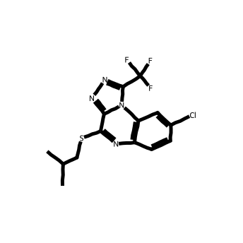 CC(C)CSc1nc2ccc(Cl)cc2n2c(C(F)(F)F)nnc12